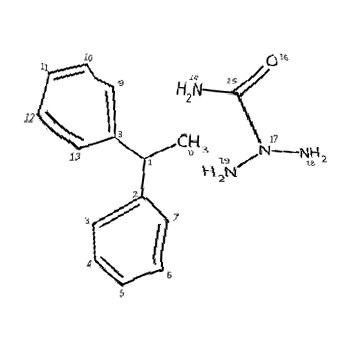 CC(c1ccccc1)c1ccccc1.NC(=O)N(N)N